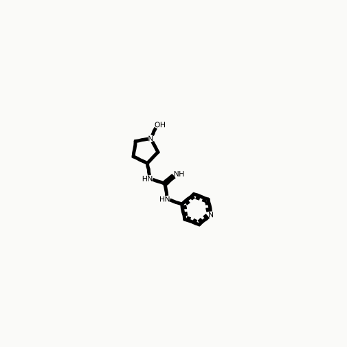 N=C(Nc1ccncc1)NC1CCN(O)C1